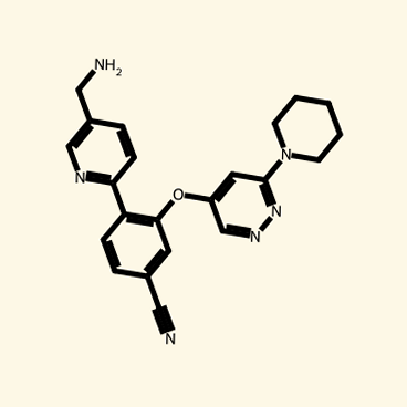 N#Cc1ccc(-c2ccc(CN)cn2)c(Oc2cnnc(N3CCCCC3)c2)c1